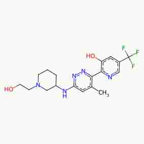 Cc1cc(NC2CCCN(CCO)C2)nnc1-c1ncc(C(F)(F)F)cc1O